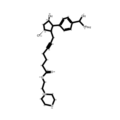 CCCCCC(O)c1ccc(C2C(CC#CCCCC(=O)OCCN3CCOCC3)[C@H](Cl)C[C@H]2O)cc1